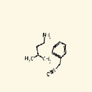 CC(C)CCN.[C-]#[N+]Cc1ccccc1